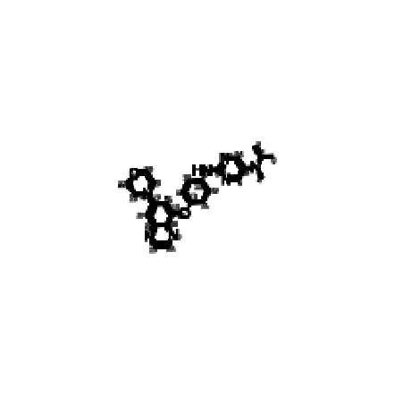 CC(C)N(C)c1cnc(N[C@H]2CC[C@@H](Oc3cc(N4CCOCC4)cc4nccnc34)CC2)nc1